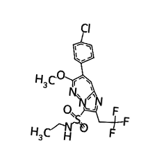 CCNS(=O)(=O)c1c(CC(F)(F)F)nc2cc(-c3ccc(Cl)cc3)c(OC)nn12